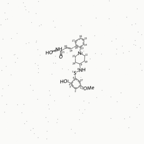 COc1ccc(O)c(SNC2CCN(c3ccccc3/C=C/C(=O)NO)CC2)c1